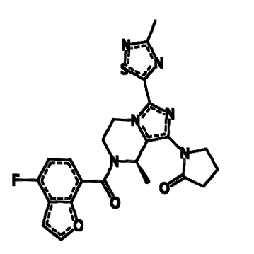 Cc1nsc(-c2nc(N3CCCC3=O)c3n2CCN(C(=O)c2ccc(F)c4ccoc24)[C@@H]3C)n1